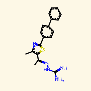 CC(=NNC(=N)N)c1sc(-c2ccc(-c3ccccc3)cc2)nc1C